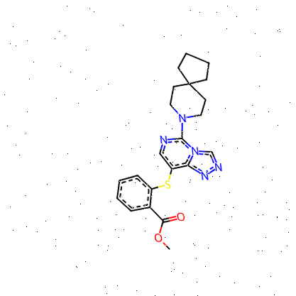 COC(=O)c1ccccc1Sc1cnc(N2CCC3(CCCC3)CC2)n2cnnc12